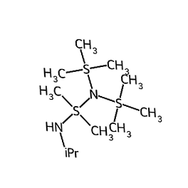 CC(C)NS(C)(C)N(S(C)(C)C)S(C)(C)C